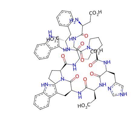 N[C@@H](CC(=O)O)C(=O)N[C@@H](Cc1c[nH]c2ccccc12)C(=O)N1CCC[C@H]1C(=O)N[C@@H](Cc1c[nH]cn1)C(=O)N[C@@H](CC(=O)O)C(=O)N[C@@H](Cc1c[nH]c2ccccc12)C(=O)N1CCC[C@H]1C(=O)N[C@@H](CC(=O)O)C(=O)N[C@@H](Cc1ccccc1)C(=O)O